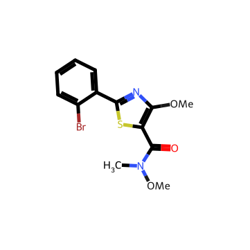 COc1nc(-c2ccccc2Br)sc1C(=O)N(C)OC